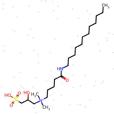 CCCCCCCCCCCCNC(=O)CCCC[N+](C)(C)CC(O)CS(=O)(=O)O